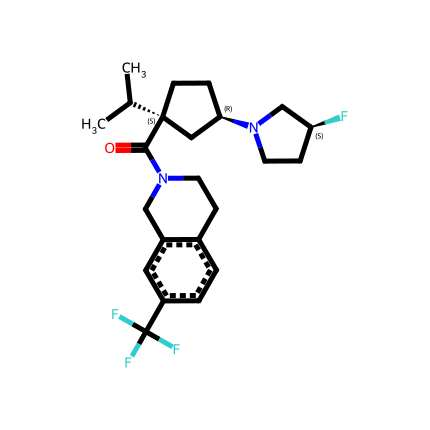 CC(C)[C@]1(C(=O)N2CCc3ccc(C(F)(F)F)cc3C2)CC[C@@H](N2CC[C@H](F)C2)C1